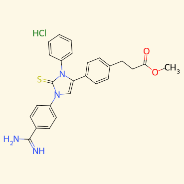 COC(=O)CCc1ccc(-c2cn(-c3ccc(C(=N)N)cc3)c(=S)n2-c2ccccc2)cc1.Cl